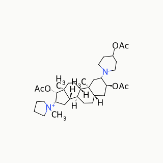 CC(=O)OC1CCN([C@H]2C[C@@]3(C)[C@@H](CC[C@@H]4[C@@H]3CC[C@@]3(C)[C@H]4C[C@H]([N+]4(C)CCCC4)[C@@H]3OC(C)=O)C[C@@H]2OC(C)=O)CC1